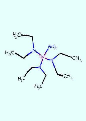 CCN(CC)[PH](N)(N(CC)CC)N(CC)CC